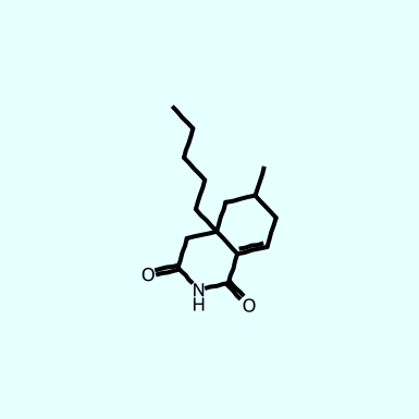 CCCCCC12CC(=O)NC(=O)C1=CCC(C)C2